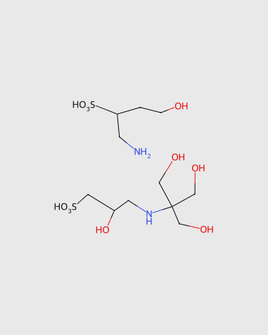 NCC(CCO)S(=O)(=O)O.O=S(=O)(O)CC(O)CNC(CO)(CO)CO